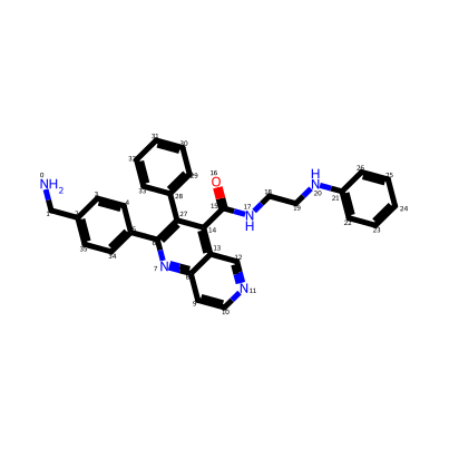 NCc1ccc(-c2nc3ccncc3c(C(=O)NCCNc3ccccc3)c2-c2ccccc2)cc1